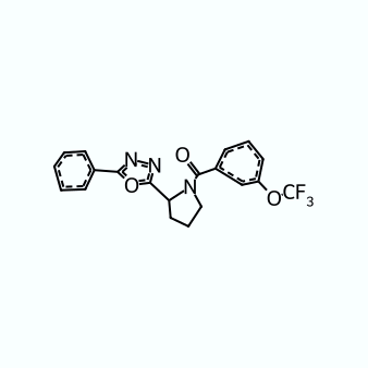 O=C(c1cccc(OC(F)(F)F)c1)N1CCCC1c1nnc(-c2ccccc2)o1